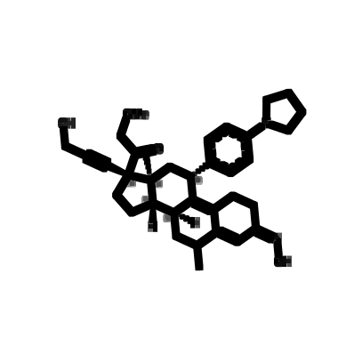 COCC(=O)[C@@]1(C#CCO)CC[C@H]2[C@@H]3CC(C)C4=CC(=NO)CCC4=C3[C@@H](c3ccc(N4CCCC4)cc3)C[C@@]21C